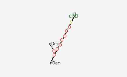 CCCCCCCCCCCCCCOCC(COCCOCCOCCOCCOCCOCCSCCC[Si](Cl)(Cl)Cl)OCCCCCCCCCCCCCC